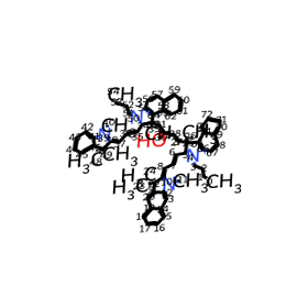 CCCC[N+]1=C(C=CC=C2N(C)c3cc4ccccc4cc3C2(C)C)C(C)(CCC(O)CC2(C)C(C=CC=C3N(C)c4ccccc4C3(C)C)=[N+](CCCC)c3ccc4ccccc4c32)c2c1ccc1ccccc21